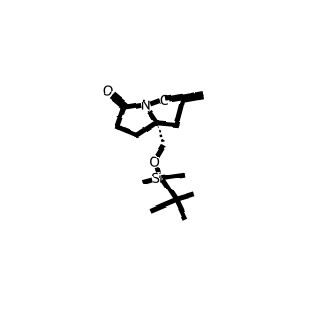 C=C1CN2C(=O)CC[C@]2(CO[Si](C)(C)C(C)(C)C)C1